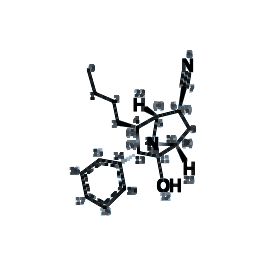 CCCC[C@H]1[C@@H]2[C@@H](C#N)C[C@H](C(O)[C@@H]1c1ccccc1)N2C